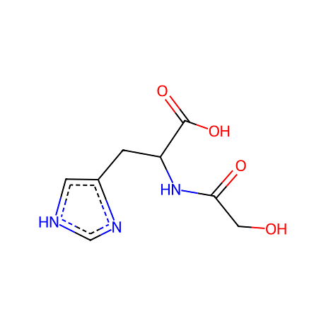 O=C(CO)NC(Cc1c[nH]cn1)C(=O)O